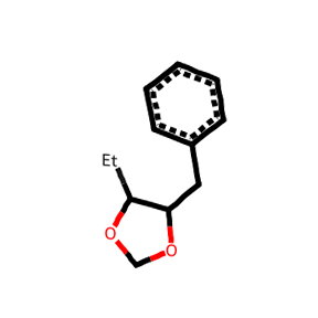 [CH2]CC1OCOC1Cc1ccccc1